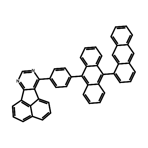 c1ccc2cc3c(-c4c5ccccc5c(-c5ccc(-c6ncnc7c6-c6cccc8cccc-7c68)cc5)c5ccccc45)cccc3cc2c1